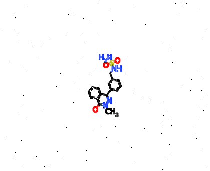 Cn1nc(-c2cccc(CNS(N)(=O)=O)c2)c2ccccc2c1=O